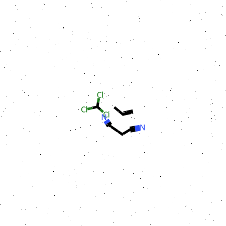 C=CC.ClC(Cl)Cl.N#CCC#N